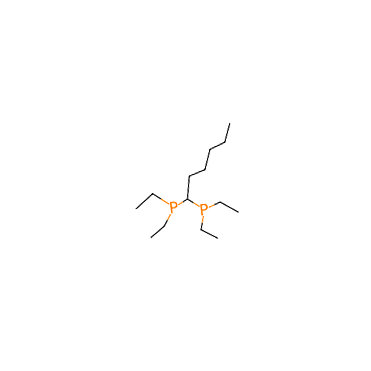 CCCCCC(P(CC)CC)P(CC)CC